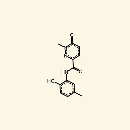 Cc1ccc(O)c(NC(=O)c2ccc(=O)n(C)n2)c1